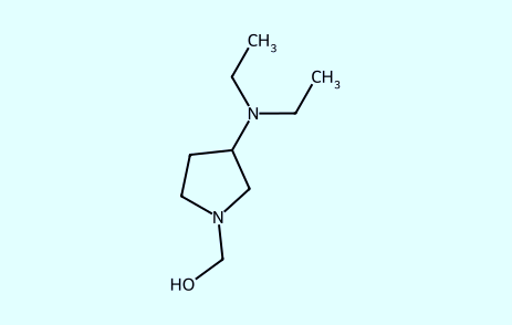 CCN(CC)C1CCN(CO)C1